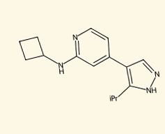 CC(C)c1[nH]ncc1-c1ccnc(NC2CCC2)c1